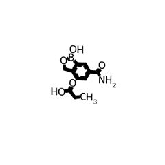 CCC(=O)O.NC(=O)c1ccc2c(c1)B(O)OC2